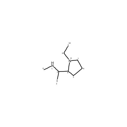 CNC(I)C1CCCN1CI